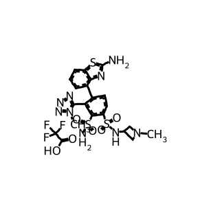 CN1CC(NS(=O)(=O)c2ccc(-c3cccc4sc(N)nc34)c(-c3nnnn3C)c2S(N)(=O)=O)C1.O=C(O)C(F)(F)F